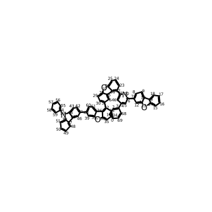 c1ccc(-c2cc(-c3ccc4c(c3)oc3ccccc34)nc(-c3cccc4oc5ccc(-c6cccc7oc8cc(-c9ccc%10c(c9)c9ccccc9n%10-c9ccccc9)ccc8c67)cc5c34)c2)cc1